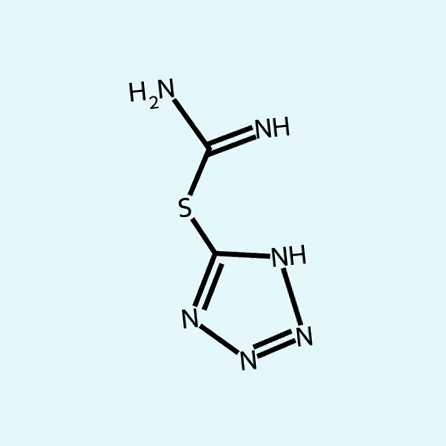 N=C(N)Sc1nnn[nH]1